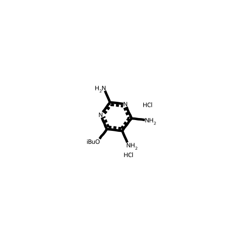 CC(C)COc1nc(N)nc(N)c1N.Cl.Cl